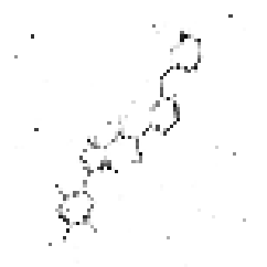 Cc1cc(C)c(-c2cnc(NC(=O)c3cccc(Cc4cccnc4)c3)n2C)cc1C